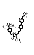 CCn1c(CCCc2ccc(-c3ccc(CC(=O)O)nc3)cc2)nn(Cc2ccc(C(C)(C)C)cc2)c1=O